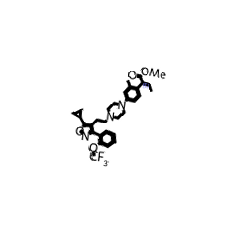 C/C=C(/C(=O)OC)c1ccc(N2CCN(CCc3c(-c4ccccc4OC(F)(F)F)noc3C3CC3)CC2)cc1C